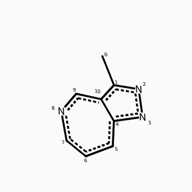 Cc1nnc2cccncc1-2